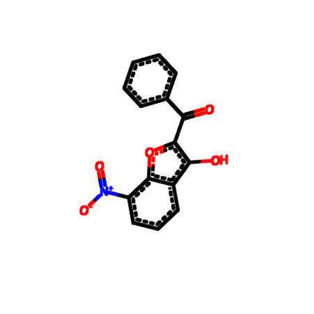 O=C(c1ccccc1)c1oc2c([N+](=O)[O-])cccc2c1O